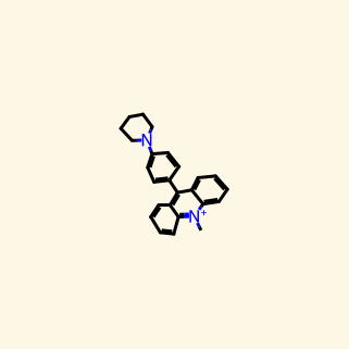 C[n+]1c2ccccc2c(-c2ccc(N3CCCCC3)cc2)c2ccccc21